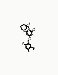 Cc1cc(F)c(COc2cc3n(c(=O)n2)C[C@@H]2CCCN3C2)cc1F